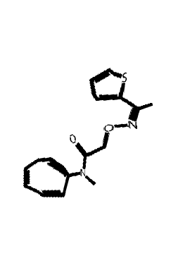 CC(=NOCC(=O)N(C)c1ccccc1)c1cccs1